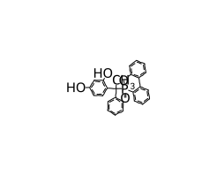 CC(c1ccccc1)(c1ccc(O)cc1O)P1(=O)Oc2ccccc2-c2ccccc21